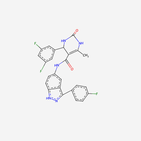 CC1=C(C(=O)Nc2ccc3[nH]nc(-c4ccc(F)cc4)c3c2)C(c2cc(F)cc(F)c2)NC(=O)N1